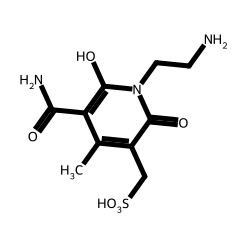 Cc1c(C(N)=O)c(O)n(CCN)c(=O)c1CS(=O)(=O)O